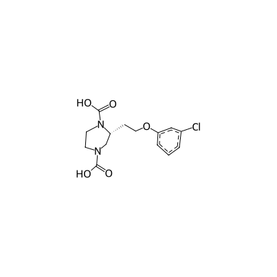 O=C(O)N1CCN(C(=O)O)[C@H](CCOc2cccc(Cl)c2)C1